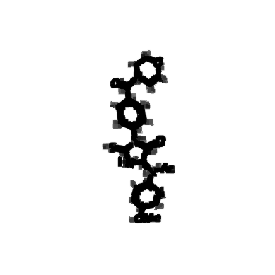 COc1ccc(N(C(C)=O)C2NC(=S)N(c3ccc(C(=O)N4CCOCC4)cc3)C2=O)nc1